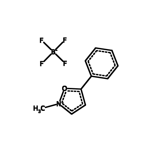 C[n+]1ccc(-c2ccccc2)o1.F[B-](F)(F)F